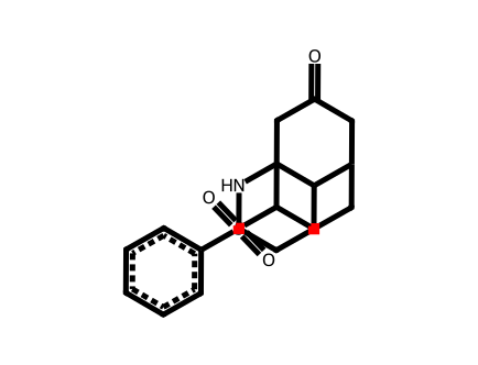 O=C1CC2CCC(S(=O)(=O)c3ccccc3)C3(C1)NCCCC23